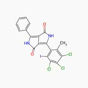 Cc1c(Cl)c(Cl)c(Cl)c(I)c1C1=C2C(=O)NC(c3ccccc3)=C2C(=O)N1